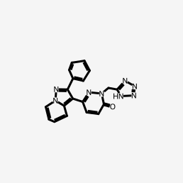 O=c1ccc(-c2c(-c3ccccc3)nn3ccccc23)nn1Cc1nnn[nH]1